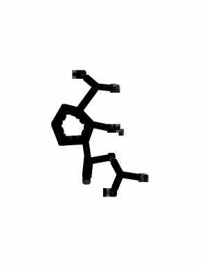 CCC(O)OC(=O)c1cccc(C(O)CC)c1N